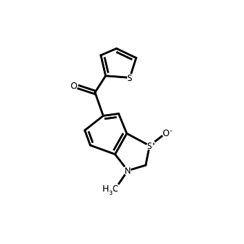 CN1C[S+]([O-])c2cc(C(=O)c3cccs3)ccc21